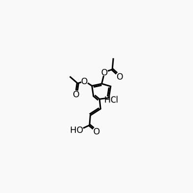 CC(=O)Oc1ccc(C=CC(=O)O)cc1OC(C)=O.Cl